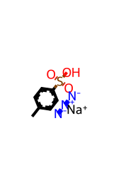 Cc1ccc(S(=O)(=O)O)cc1.[N-]=[N+]=[N-].[Na+]